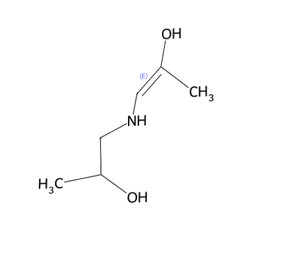 C/C(O)=C\NCC(C)O